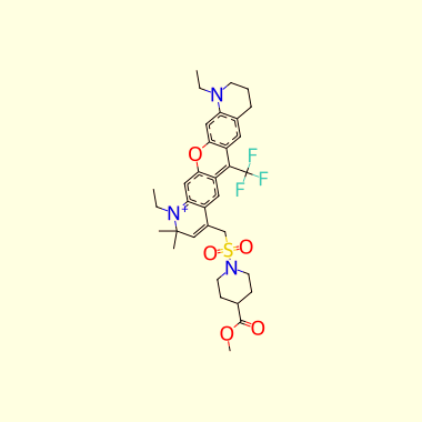 CCN1CCCc2cc3c(cc21)Oc1cc2c(cc1=C3C(F)(F)F)C(CS(=O)(=O)N1CCC(C(=O)OC)CC1)=CC(C)(C)[N+]=2CC